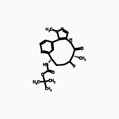 C[C@H]1C(=O)Nc2cnn(C)c2-c2ccnc(c2)[C@@H](NC(=O)OC(C)(C)C)CCC1F